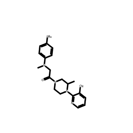 CCCCc1ccc(N(C)CC(=O)N2CCN(c3ncccc3C#N)C(C)C2)cc1